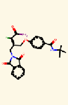 CC(C)(C)NC(=O)c1ccc(OC/C(CN2C(=O)c3ccccc3C2=O)=C(/F)C(=O)P)cc1